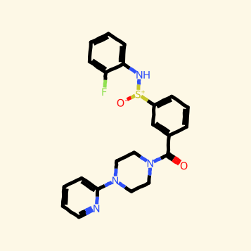 O=C(c1cccc([S+]([O-])Nc2ccccc2F)c1)N1CCN(c2ccccn2)CC1